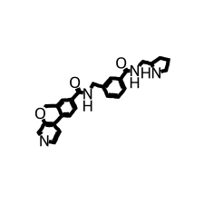 O=C(NCc1cccc(C(=O)NCC2CCCN2)c1)c1ccc2c(c1)COc1cnccc1-2